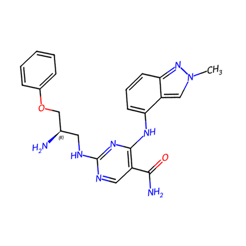 Cn1cc2c(Nc3nc(NC[C@@H](N)COc4ccccc4)ncc3C(N)=O)cccc2n1